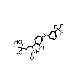 COC(C)(CO)CCC(NC=O)c1ccc(Sc2cccc(C(F)(F)F)c2)cc1Cl